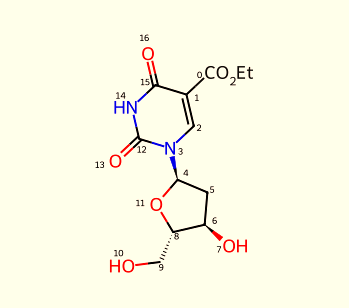 CCOC(=O)c1cn([C@H]2C[C@@H](O)[C@H](CO)O2)c(=O)[nH]c1=O